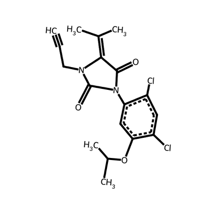 C#CCN1C(=O)N(c2cc(OC(C)C)c(Cl)cc2Cl)C(=O)C1=C(C)C